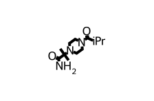 CC(C)C(=O)N1CCN(C(C)(C)C(N)=O)CC1